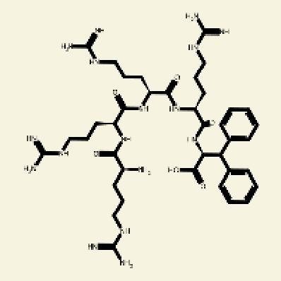 N=C(N)NCCC[C@H](NC(=O)[C@H](CCCNC(=N)N)NC(=O)[C@@H](N)CCCNC(=N)N)C(=O)N[C@@H](CCCNC(=N)N)C(=O)N[C@H](C(=O)O)C(c1ccccc1)c1ccccc1